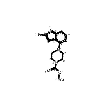 CC(C)(C)OC(=O)N1CCN(c2cccc3sc(F)cc23)CC1